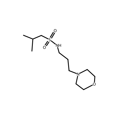 CC(C)CS(=O)(=O)NCCCN1CCOCC1